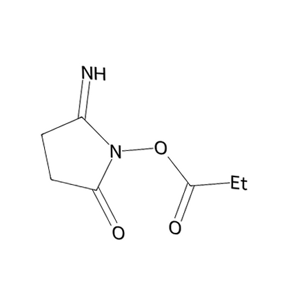 CCC(=O)ON1C(=N)CCC1=O